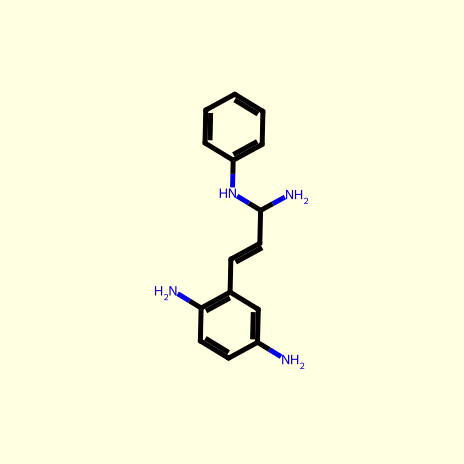 Nc1ccc(N)c(C=CC(N)Nc2ccccc2)c1